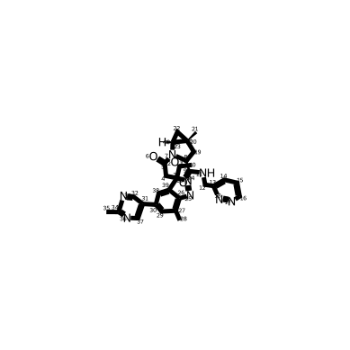 CC(=O)C1(CC(=O)N2[C@H](C(=O)NCc3cccnn3)C[C@@]3(C)C[C@@H]23)N=Nc2c(C)cc(-c3cnc(C)nc3)cc21